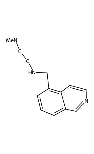 CNCCNCc1cccc2cnccc12